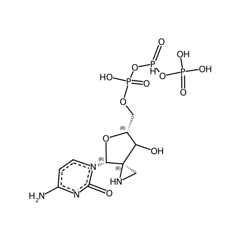 Nc1ccn([C@@H]2O[C@H](COP(=O)(O)O[PH](=O)OP(=O)(O)O)C(O)[C@]23CN3)c(=O)n1